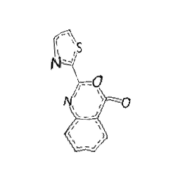 O=c1oc(-c2nccs2)nc2ccccc12